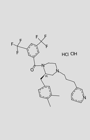 Cc1ccc(C[C@@H]2CN(CCCc3cccnc3)CCN2C(=O)c2cc(C(F)(F)F)cc(C(F)(F)F)c2)cc1C.Cl.Cl